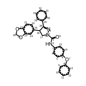 O=C(Nc1ccc(Oc2ccccc2)cc1)N1CC(c2ccc3c(c2)OCO3)C(c2ccccc2)=N1